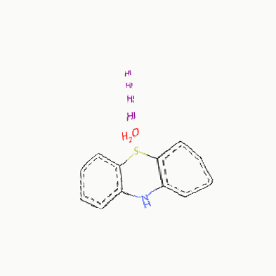 I.I.I.I.O.c1ccc2c(c1)Nc1ccccc1S2